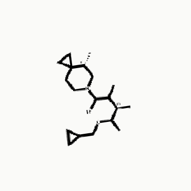 CCC(C(C)[C@@H](C)C(C)OCC1CC1)N1CCC2(CC2)[C@H](C)C1